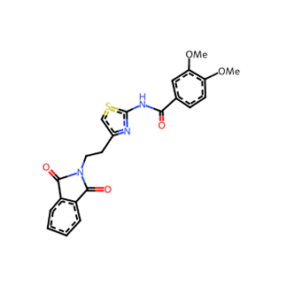 COc1ccc(C(=O)Nc2nc(CCN3C(=O)c4ccccc4C3=O)cs2)cc1OC